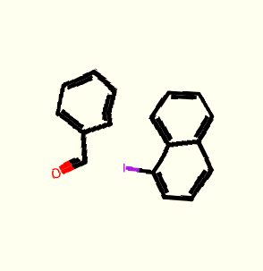 Ic1cccc2ccccc12.O=Cc1ccccc1